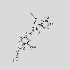 C#CCOC(C(=O)NCCc1ccc(OCC#CCC)c(OC)c1)c1ccc(Cl)c(Cl)c1